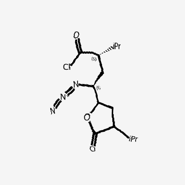 CC(C)C1CC([C@H](C[C@H](C(=O)Cl)C(C)C)N=[N+]=[N-])OC1=O